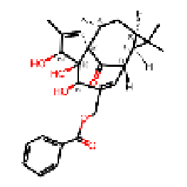 CC1=C[C@]23C(=O)[C@@H](C=C(COC(=O)c4ccccc4)[C@@H](O)[C@]2(O)[C@H]1O)[C@H]1[C@@H](C[C@H]3C)C1(C)C